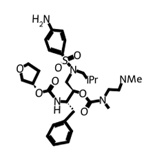 CNCCN(C)C(=O)O[C@H](CN(CC(C)C)S(=O)(=O)c1ccc(N)cc1)[C@H](Cc1ccccc1)NC(=O)O[C@H]1CCOC1